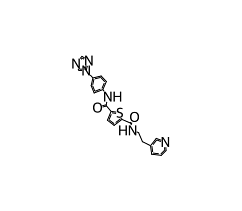 O=C(NCCc1cccnc1)c1ccc(C(=O)Nc2ccc(-n3cncn3)cc2)s1